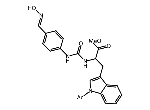 COC(=O)C(Cc1cn(C(C)=O)c2ccccc12)NC(=O)Nc1ccc(C=NO)cc1